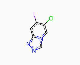 Clc1cn2cnnc2cc1I